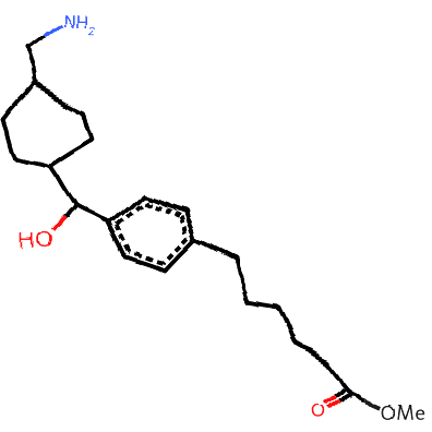 COC(=O)CCCCCc1ccc(C(O)C2CCC(CN)CC2)cc1